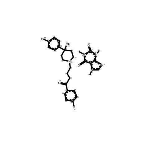 Cn1c(=O)c2c(ncn2C)n(C)c1=O.O=C(CCCN1CCC(O)(c2ccc(Cl)cc2)CC1)c1ccc(F)cc1